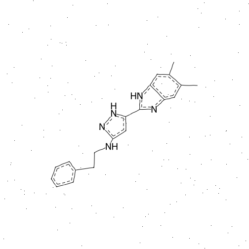 Cc1cc2nc(-c3cc(NCCc4ccccc4)n[nH]3)[nH]c2cc1C